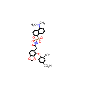 CCCc1cc(C(=O)O)ccc1Oc1c(CC(=O)NS(=O)(=O)S(=O)(=O)c2cccc3c(N(C)C)cccc23)ccc2c1OCO2